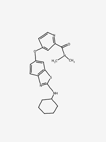 CN(C)C(=O)c1cc(Oc2ccc3nc(NC4CCCCC4)sc3c2)ccn1